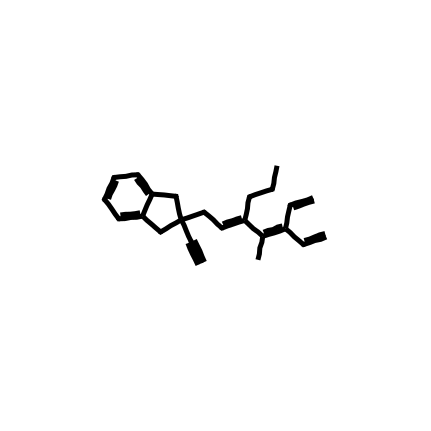 C#CC1(C/C=C(\CCC)C(C)=C(C=C)C=C)Cc2ccccc2C1